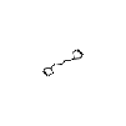 C1=CCC(CCCCC2CC=CC2)C1